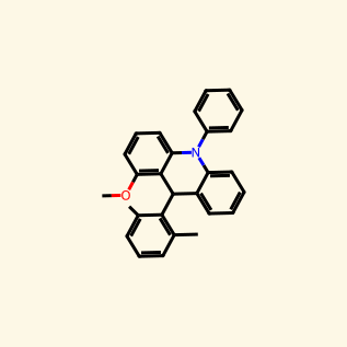 COc1cccc2c1C(c1c(C)cccc1C)c1ccccc1N2c1ccccc1